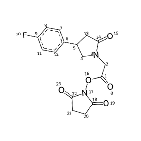 O=C(CN1CC(c2ccc(F)cc2)CC1=O)ON1C(=O)CCC1=O